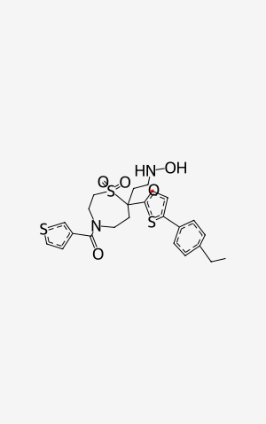 CCc1ccc(-c2ccc(C3(CC(=O)NO)CCN(C(=O)c4ccsc4)CCS3(=O)=O)s2)cc1